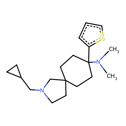 CN(C)C1(c2cccs2)CCC2(CCN(CC3CC3)C2)CC1